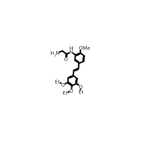 CCOc1cc(C=Cc2ccc(OC)c(NC(=O)CN)c2)cc(OCC)c1OCC